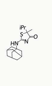 CC(C)C1(C)SC(NC23CC4CC(CC(C4)C2)C3)=NC1=O